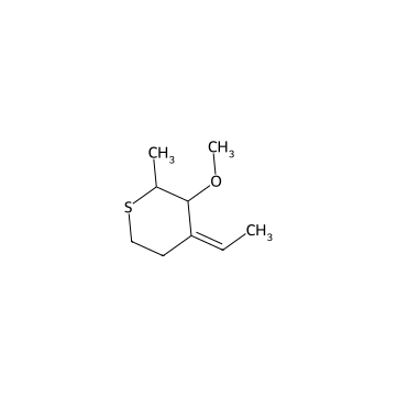 C/C=C1/CCSC(C)C1OC